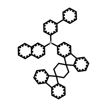 c1ccc(-c2cccc(N(c3ccc4c(c3)C3(CCC5(CC3)c3ccccc3-c3ccccc35)c3ccccc3-4)c3ccc4ccccc4c3)c2)cc1